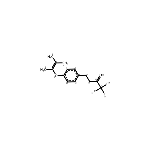 CC(C)=C(C)Oc1ccc(CCC(=O)C(F)(F)F)cc1